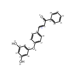 O=C(/C=C/c1ccc(Oc2cc(O)cc(O)c2)cc1)c1ccccc1